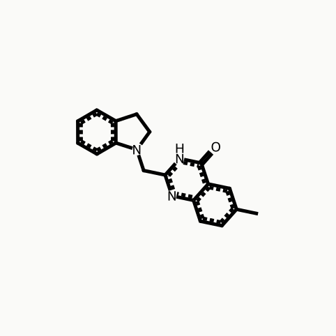 Cc1ccc2nc(CN3CCc4ccccc43)[nH]c(=O)c2c1